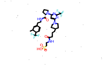 CC1C=C(CCNC(=O)[C@@H]2CCCN2c2cc(N3CCC(CCCC(=O)NCCS(=O)(=O)O)CC3)nc(C(F)(F)F)n2)C=CC1C(F)(F)F